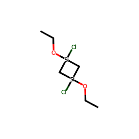 CCO[Si]1(Cl)C[Si](Cl)(OCC)C1